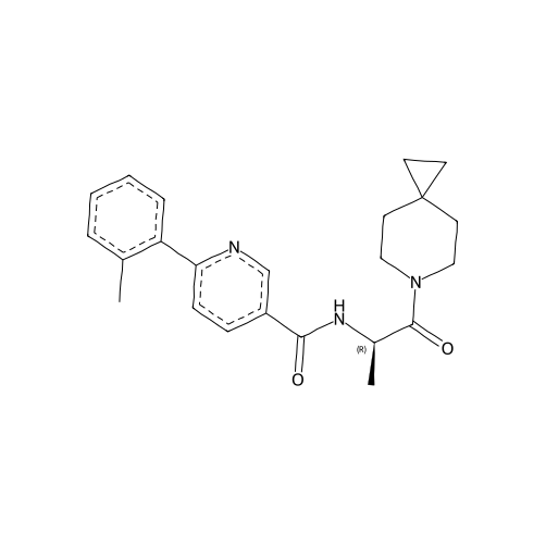 Cc1ccccc1-c1ccc(C(=O)N[C@H](C)C(=O)N2CCC3(CC2)CC3)cn1